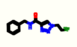 O=C(NCc1ccccc1)c1cn(CC[18F])nn1